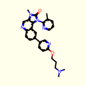 Cc1cccnc1-n1c(=O)n(C)c2cnc3ccc(-c4ccc(OCCCN(C)C)nc4)cc3c21